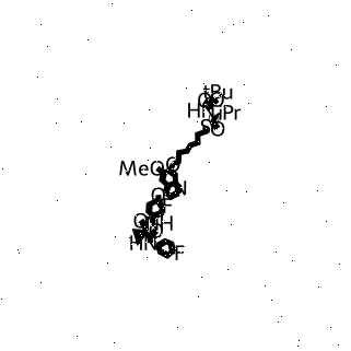 COc1cc2c(Oc3ccc(NC(=O)C4(C(=O)Nc5ccc(F)cc5)CC4)cc3F)ccnc2cc1OCCCCCCCSC(=O)[C@@H](NC(=O)OC(C)(C)C)C(C)C